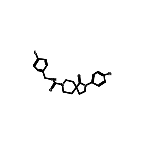 CCc1ccc(N2CCC3(CCN(C(=O)NCc4ccc(F)cc4)CC3)C2=O)cc1